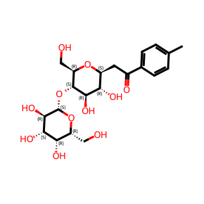 Cc1ccc(C(=O)C[C@@H]2O[C@H](CO)[C@@H](O[C@@H]3O[C@H](CO)[C@H](O)[C@H](O)[C@H]3O)[C@H](O)[C@H]2O)cc1